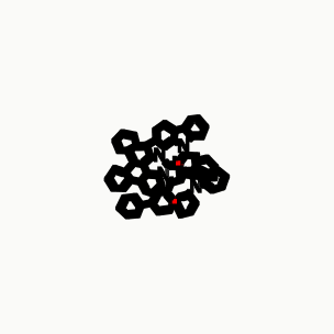 c1ccc(-c2cccc(-c3cc(-c4ccccc4)nc(-n4c5c(c6ccccc6c6c7ccccc7c7ccccc7c65)c5ccc6c7ccccc7n(-c7ccc8c(c7)c7ccccc7n8-c7ccccc7)c6c54)n3)c2)cc1